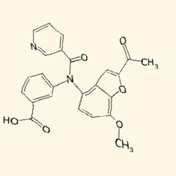 COc1ccc(N(C(=O)c2cccnc2)c2cccc(C(=O)O)c2)c2cc(C(C)=O)oc12